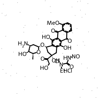 CCN(Cl)C(=O)NN=O.COc1cccc2c1C(=O)c1c(O)c3c(c(O)c1C2=O)C[C@@](O)(C(=O)CO)C[C@@H]3O[C@H]1C[C@H](N)[C@H](O)[C@H](C)O1.Cl